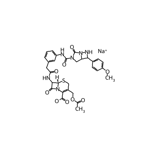 COc1ccc(C2NN3C(=O)N(C(=O)Nc4cccc(CC(=O)NC5C(=O)N6C(C(=O)[O-])=C(COC(C)=O)CS[C@@H]56)c4)CC23)cc1.[Na+]